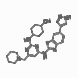 OC1CCC(Nc2nc(CN3CCCCC3)cc(Nc3nc4ccc(-c5cn[nH]c5)cc4s3)n2)CC1